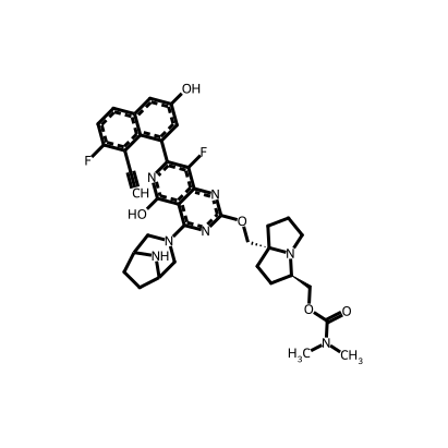 C#Cc1c(F)ccc2cc(O)cc(-c3nc(O)c4c(N5CC6CCC(C5)N6)nc(OC[C@]56CCCN5[C@@H](COC(=O)N(C)C)CC6)nc4c3F)c12